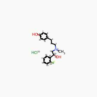 CN(CCCc1ccc(O)cc1)C[C@@H](O)c1ccccc1F.Cl